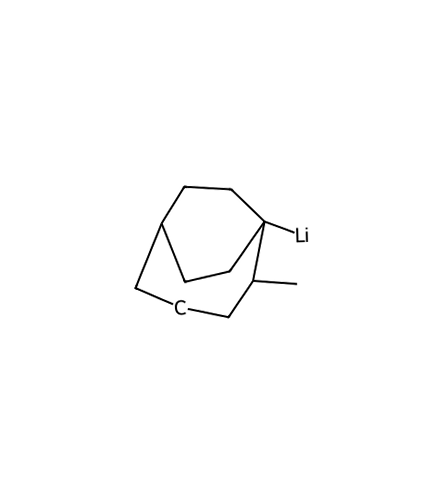 [Li][C]12CCC(CCCC1C)CC2